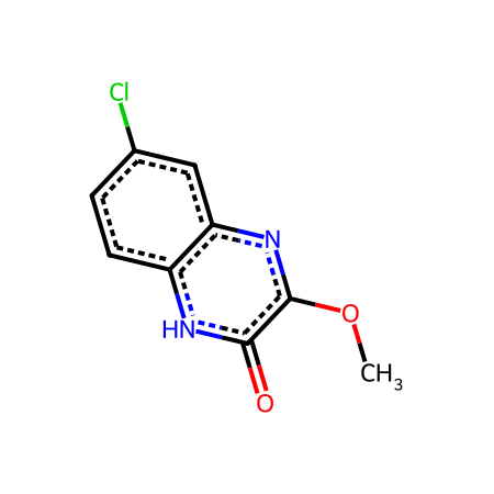 COc1nc2cc(Cl)ccc2[nH]c1=O